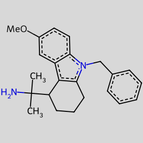 COc1ccc2c(c1)c1c(n2Cc2ccccc2)CCCC1C(C)(C)N